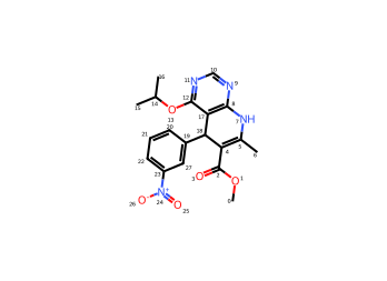 COC(=O)C1=C(C)Nc2ncnc(OC(C)C)c2C1c1cccc([N+](=O)[O-])c1